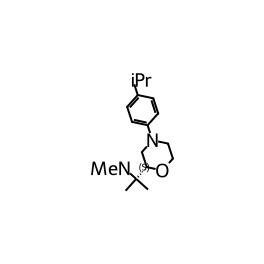 CNC(C)(C)[C@@H]1CN(c2ccc(C(C)C)cc2)CCO1